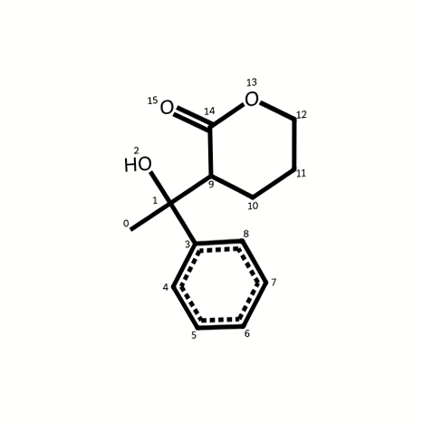 CC(O)(c1ccccc1)C1CCCOC1=O